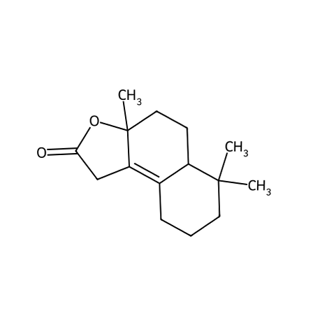 CC12CCC3C(=C1CC(=O)O2)CCCC3(C)C